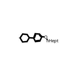 CCCCCCCOc1ccc(C2CC[CH]CC2)cc1